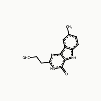 Cc1ccc2[nH]c3c(=O)[nH]c(CCC=O)nc3c2c1